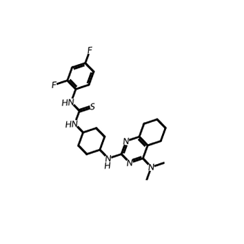 CN(C)c1nc(NC2CCC(NC(=S)Nc3ccc(F)cc3F)CC2)nc2c1CCCC2